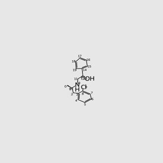 C[C@H](Cc1ccccc1Cl)NC[C@H](O)c1ccccc1